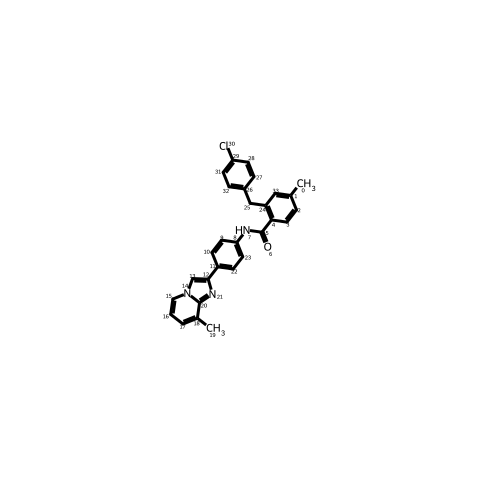 Cc1ccc(C(=O)Nc2ccc(-c3cn4cccc(C)c4n3)cc2)c(Cc2ccc(Cl)cc2)c1